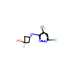 C[C@]1(O)C[C@@H](Nc2nnc(Cl)cc2C(F)(F)F)C1